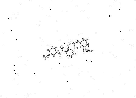 CNc1cc(Oc2ccc3c(C(=O)Nc4cccc(C(F)(F)F)c4)cncc3c2)ncn1